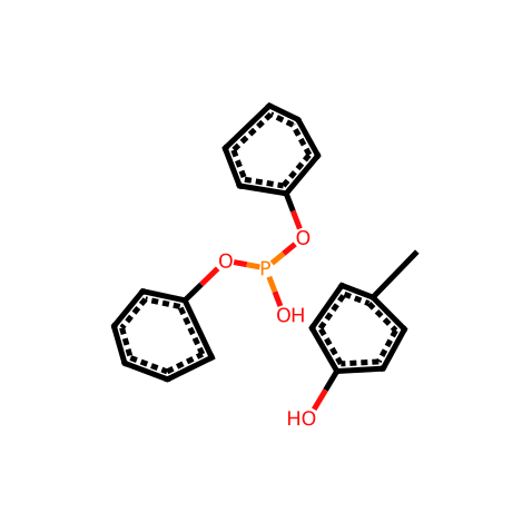 Cc1ccc(O)cc1.OP(Oc1ccccc1)Oc1ccccc1